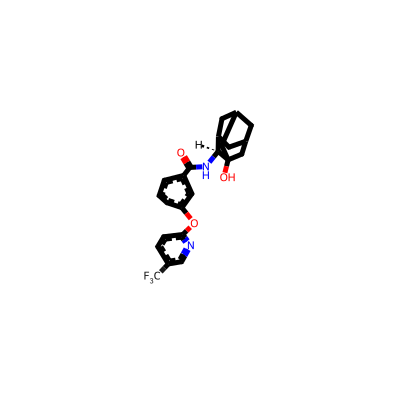 O=C(N[C@H]1C2CC3CC(C2)CC1(O)C3)c1cccc(Oc2ccc(C(F)(F)F)cn2)c1